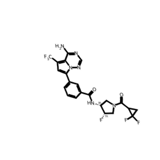 Nc1ncnn2c(-c3cccc(C(=O)N[C@@H]4CN(C(=O)C5CC5(F)F)C[C@@H]4F)c3)cc(C(F)(F)F)c12